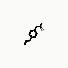 C=CCc1ccc(CC(C)=O)cc1